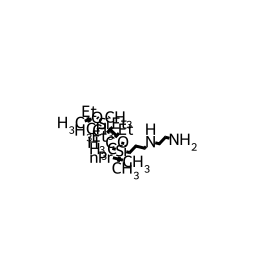 CCCC(C)(C)[Si](C)(CCCNCCN)OC(C)(CC)C(CC)(CC)[Si](C)(C)OC(C)(C)CC